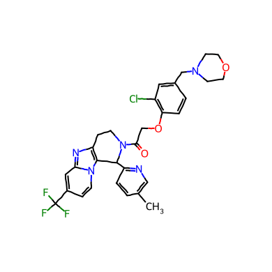 Cc1ccc(C2c3c(nc4cc(C(F)(F)F)ccn34)CCN2C(=O)COc2ccc(CN3CCOCC3)cc2Cl)nc1